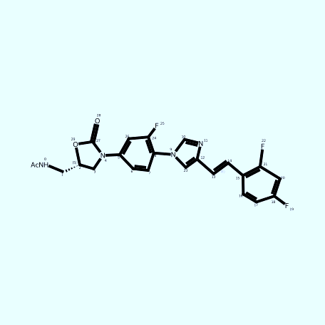 CC(=O)NC[C@H]1CN(c2ccc(-n3cnc(/C=C/c4ccc(F)cc4F)c3)c(F)c2)C(=O)O1